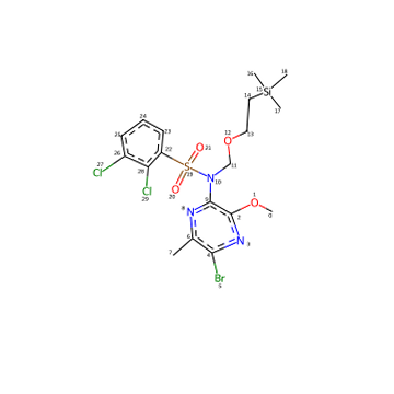 COc1nc(Br)c(C)nc1N(COCC[Si](C)(C)C)S(=O)(=O)c1cccc(Cl)c1Cl